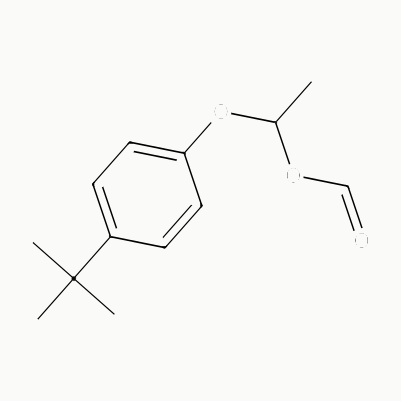 CC(O[C]=O)Oc1ccc(C(C)(C)C)cc1